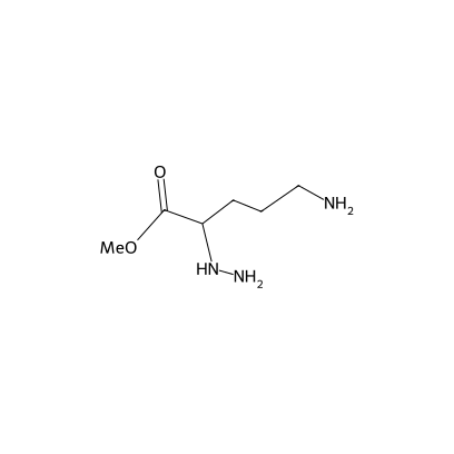 COC(=O)C(CCCN)NN